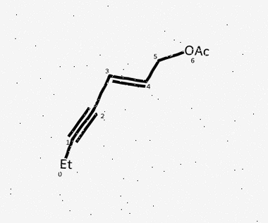 CCC#CC=CCOC(C)=O